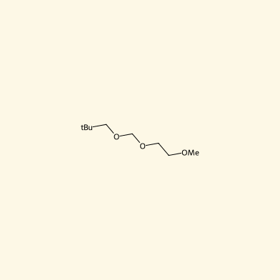 [CH2]C(C)(C)COCOCCOC